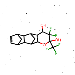 OC1C2C3CC(C2OC(O)(C(F)(F)F)C1(F)F)C1C2C=CC(C2)C31